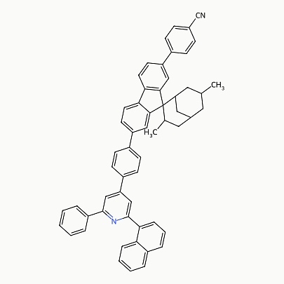 CC1CC2CC(C)C3(c4cc(-c5ccc(C#N)cc5)ccc4-c4ccc(-c5ccc(-c6cc(-c7ccccc7)nc(-c7cccc8ccccc78)c6)cc5)cc43)C(C1)C2